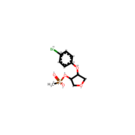 CS(=O)(=O)OC1COCC1Oc1ccc(Br)cc1